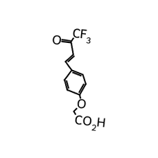 O=C(O)COc1ccc(C=CC(=O)C(F)(F)F)cc1